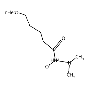 CCCCCCCCCCCC(=O)[NH+]([O-])N(C)C